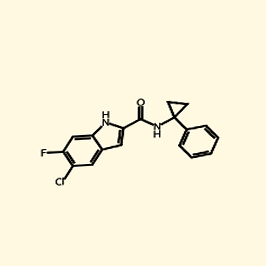 O=C(NC1(c2ccccc2)CC1)c1cc2cc(Cl)c(F)cc2[nH]1